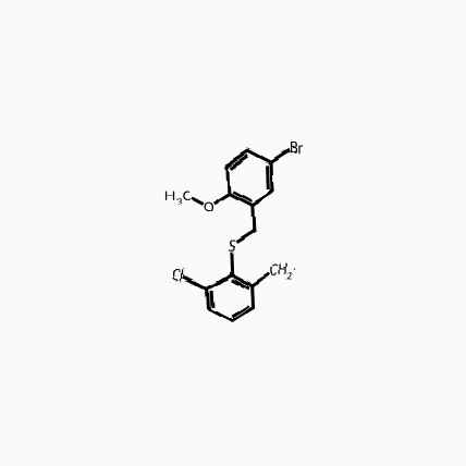 [CH2]c1cccc(Cl)c1SCc1cc(Br)ccc1OC